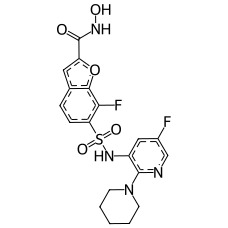 O=C(NO)c1cc2ccc(S(=O)(=O)Nc3cc(F)cnc3N3CCCCC3)c(F)c2o1